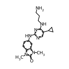 Cn1c(=O)n(C)c2cc(Nc3ncc(C4CC4)c(NCCCN)n3)ccc21